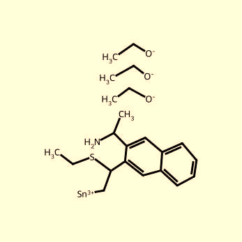 CCSC([CH2][Sn+3])c1cc2ccccc2cc1C(C)N.CC[O-].CC[O-].CC[O-]